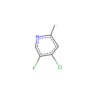 [CH2]c1cc(Cl)c(F)cn1